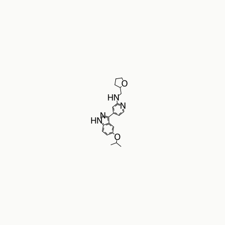 CC(C)Oc1ccc2[nH]nc(-c3ccnc(NCC4CCCO4)c3)c2c1